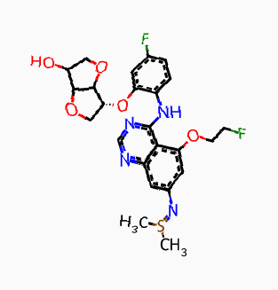 CS(C)=Nc1cc(OCCF)c2c(Nc3ccc(F)cc3O[C@@H]3COC4C(O)COC43)ncnc2c1